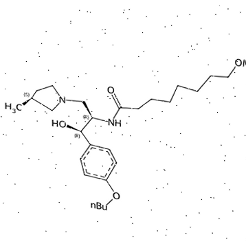 CCCCOc1ccc([C@@H](O)[C@@H](CN2CC[C@H](C)C2)NC(=O)CCCCCCCOC)cc1